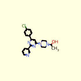 CC(O)N1CCN(c2cc(-c3ccc(Cl)cc3)nc(-c3cccnc3)n2)CC1